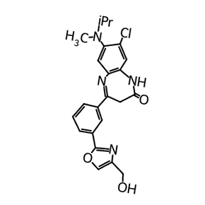 CC(C)N(C)c1cc2c(cc1Cl)NC(=O)CC(c1cccc(-c3nc(CO)co3)c1)=N2